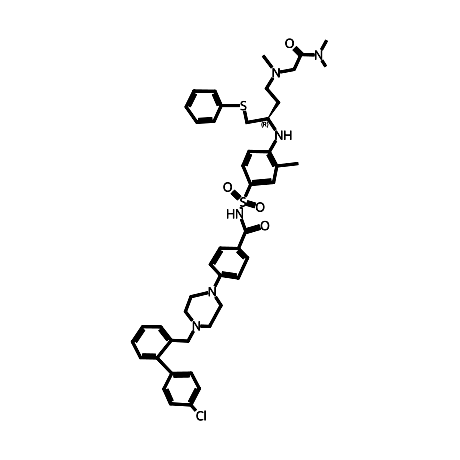 Cc1cc(S(=O)(=O)NC(=O)c2ccc(N3CCN(Cc4ccccc4-c4ccc(Cl)cc4)CC3)cc2)ccc1N[C@H](CCN(C)CC(=O)N(C)C)CSc1ccccc1